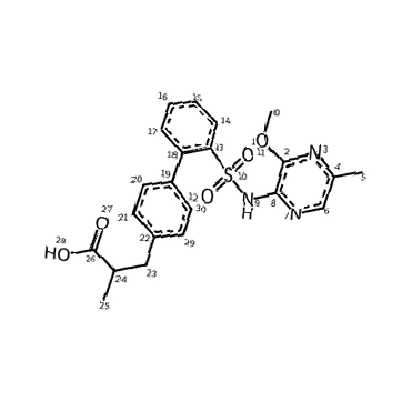 COc1nc(C)cnc1NS(=O)(=O)c1ccccc1-c1ccc(CC(C)C(=O)O)cc1